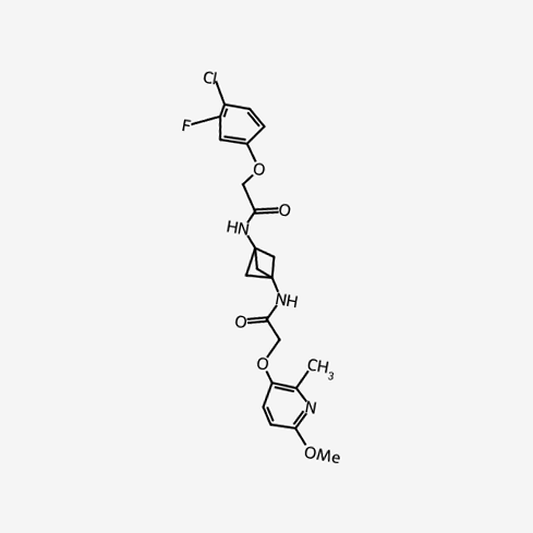 COc1ccc(OCC(=O)NC23CC(NC(=O)COc4ccc(Cl)c(F)c4)(C2)C3)c(C)n1